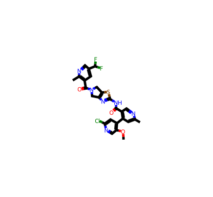 COc1cnc(Cl)cc1-c1cc(C)ncc1C(=O)Nc1nc2c(s1)CN(C(=O)c1cc(C(F)F)cnc1C)C2